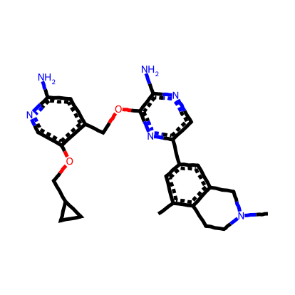 Cc1cc(-c2cnc(N)c(OCc3cc(N)ncc3OCC3CC3)n2)cc2c1CCN(C)C2